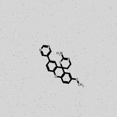 COc1ccc2c(c1)C1(CCN=C(N)S1)c1cc(-c3cncnc3)ccc1O2